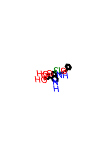 O=C(O)CC(C(=O)O)C1CNCCc2c1ccc(Cl)c2NCCOCc1ccccc1